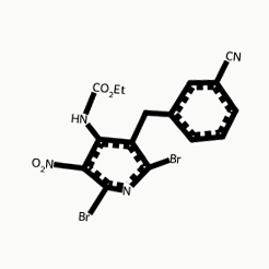 CCOC(=O)Nc1c(Cc2cccc(C#N)c2)c(Br)nc(Br)c1[N+](=O)[O-]